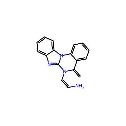 C=C1c2ccccc2-n2c(nc3ccccc32)N1/C=C\N